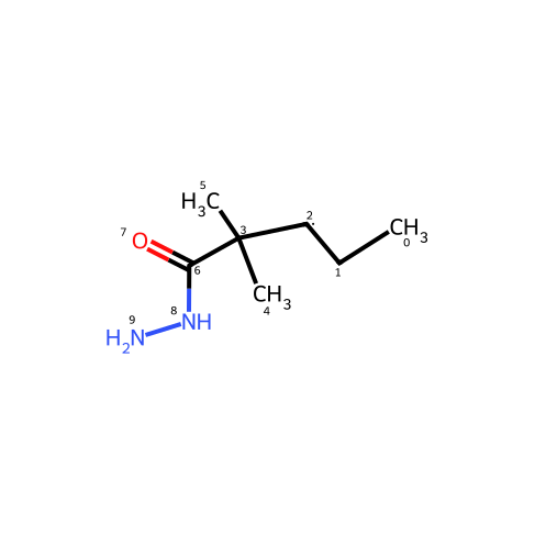 CC[CH]C(C)(C)C(=O)NN